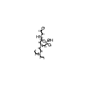 CCN(CC)CCN(CCNCC=O)CS(=O)(=O)O